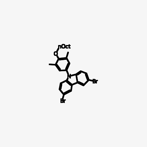 CCCCCCCCOc1c(C)cc(-n2c3ccc(Br)cc3c3cc(Br)ccc32)cc1C